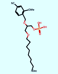 CCCCCCCCCCCCCCCCCCOCC(COP(=O)(O)O)OCc1ccc(C#N)cc1OC